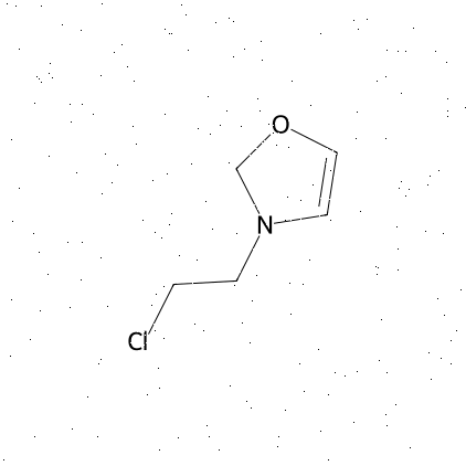 ClCCN1C=COC1